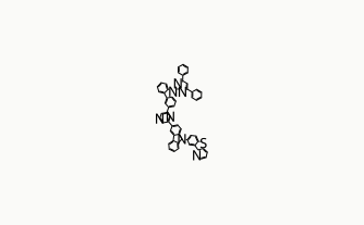 c1ccc(-c2cc(-c3ccccc3)nc(-n3c4ccccc4c4cc(-c5cncc(-c6ccc7c(c6)c6ccccc6n7-c6ccc7sc8cccnc8c7c6)n5)ccc43)n2)cc1